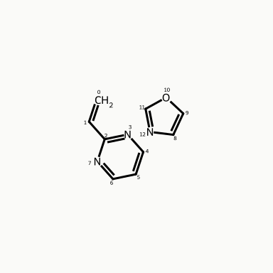 C=Cc1ncccn1.c1cocn1